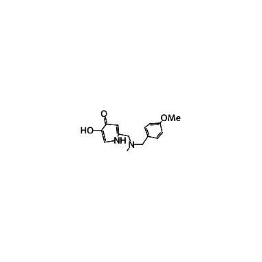 COc1ccc(CN(C)Cc2cc(=O)c(O)c[nH]2)cc1